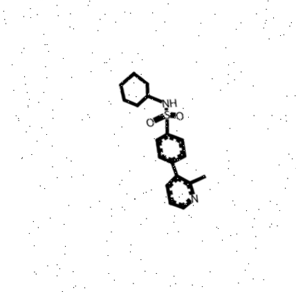 Cc1ncccc1-c1ccc(S(=O)(=O)NC2CCCCC2)cc1